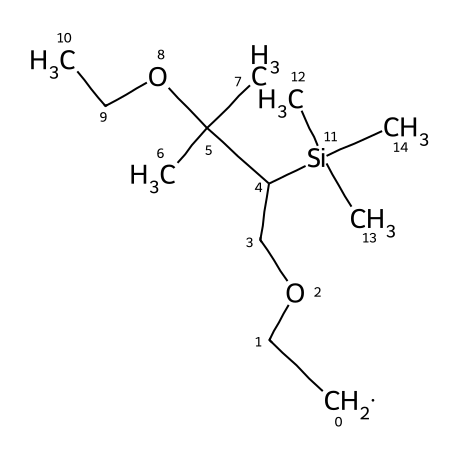 [CH2]COCC(C(C)(C)OCC)[Si](C)(C)C